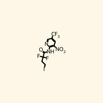 O=C(Nc1ncc(C(F)(F)F)cc1[N+](=O)[O-])C(F)(F)CCI